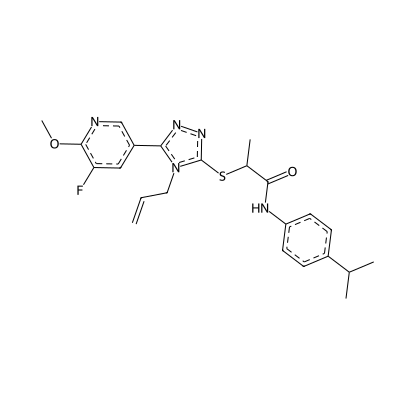 C=CCn1c(SC(C)C(=O)Nc2ccc(C(C)C)cc2)nnc1-c1cnc(OC)c(F)c1